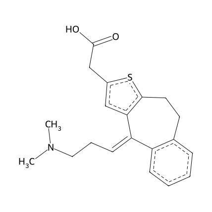 CN(C)CCC=C1c2ccccc2CCc2sc(CC(=O)O)cc21